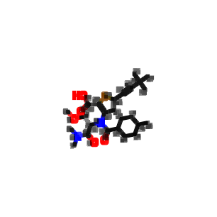 COC[C@@H](C(=O)N(C)C)N(C(=O)C1CCC(C)CC1)c1cc(C#CC(C)(C)C)sc1C(=O)O